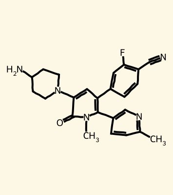 Cc1ccc(-c2c(-c3ccc(C#N)c(F)c3)cc(N3CCC(N)CC3)c(=O)n2C)cn1